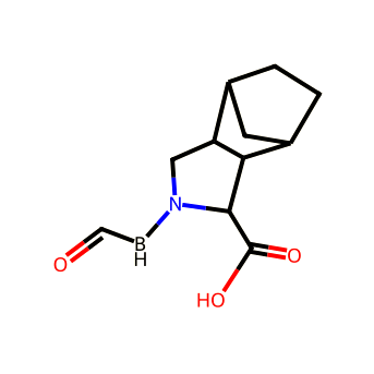 O=CBN1CC2C3CCC(C3)C2C1C(=O)O